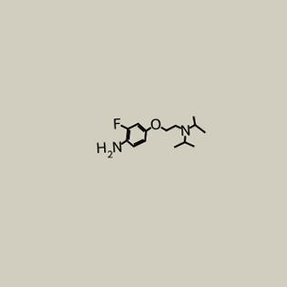 CC(C)N(CCOc1ccc(N)c(F)c1)C(C)C